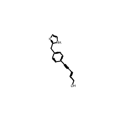 OCC=CC#Cc1ccc(Cc2ncc[nH]2)cc1